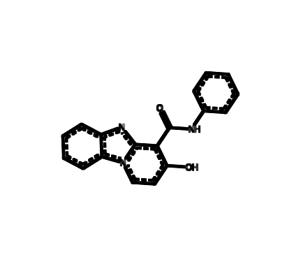 O=C(Nc1ccccc1)c1c(O)ccn2c1nc1ccccc12